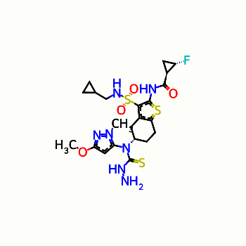 COc1cc(N(C(=S)NN)[C@H]2CCc3sc(NC(=O)[C@H]4C[C@@H]4F)c(S(=O)(=O)NCC4CC4)c3C2)n(C)n1